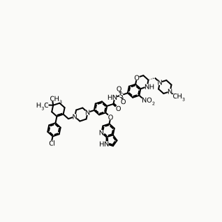 CN1CCN(C[C@H]2COc3cc(S(=O)(=O)NC(=O)c4ccc(N5CCN(CC6=C(c7ccc(Cl)cc7)CC(C)(C)CC6)CC5)cc4Oc4cnc5[nH]ccc5c4)cc([N+](=O)[O-])c3N2)CC1